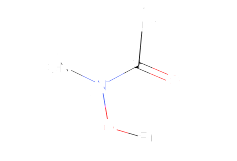 CCON(N=O)C(=O)C(C)C